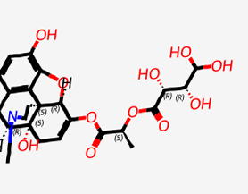 C[C@H](OC(=O)[C@H](O)[C@@H](O)C(O)O)C(=O)OC1=CC[C@@]2(O)[C@H]3Cc4ccc(O)c5c4[C@@]2(CCN3C)[C@H]1O5